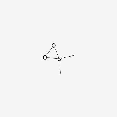 CS1(C)OO1